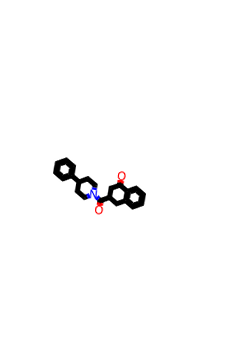 O=C1CC(C(=O)N2CCC(c3ccccc3)CC2)Cc2ccccc21